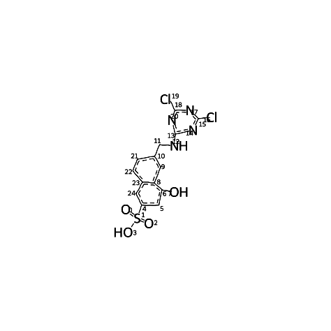 O=S(=O)(O)c1cc(O)c2cc(CNc3nc(Cl)nc(Cl)n3)ccc2c1